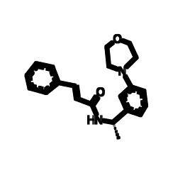 C[C@H](NC(=O)C=Cc1ccccc1)c1cccc(N2CCOCC2)c1